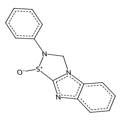 [O-][S+]1c2nc3ccccc3n2CN1c1ccccc1